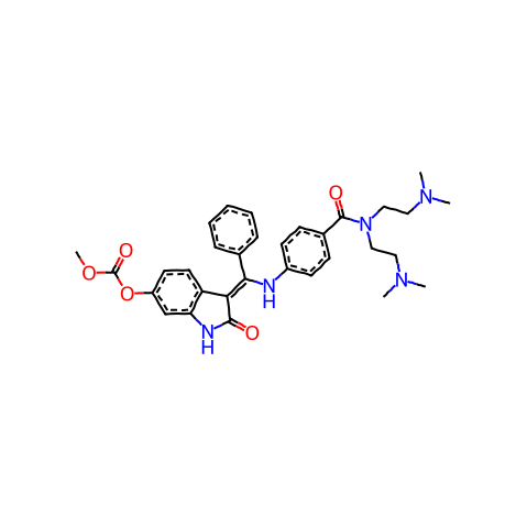 COC(=O)Oc1ccc2c(c1)NC(=O)/C2=C(\Nc1ccc(C(=O)N(CCN(C)C)CCN(C)C)cc1)c1ccccc1